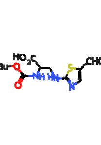 CC(C)(C)OC(=O)NC(CNc1ncc(C=O)s1)C(=O)O